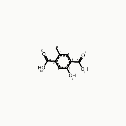 Cc1cc(C(=O)O)c(O)cc1C(=O)O